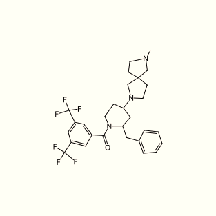 CN1CCC2(CCN(C3CCN(C(=O)c4cc(C(F)(F)F)cc(C(F)(F)F)c4)C(Cc4ccccc4)C3)C2)C1